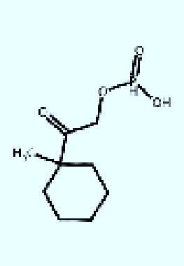 CC1(C(=O)CO[PH](=O)O)CCCCC1